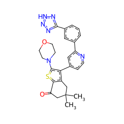 CC1(C)CC(=O)c2sc(N3CCOCC3)c(-c3ccnc(-c4cccc(-c5nn[nH]n5)c4)c3)c2C1